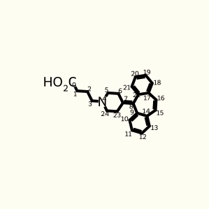 O=C(O)CCCN1CCC(=C2c3ccccc3C=Cc3ccccc32)CC1